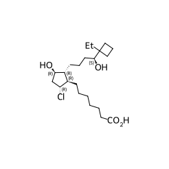 CCC1([C@@H](O)CCC[C@@H]2[C@@H](CCCCCCC(=O)O)[C@H](Cl)C[C@H]2O)CCC1